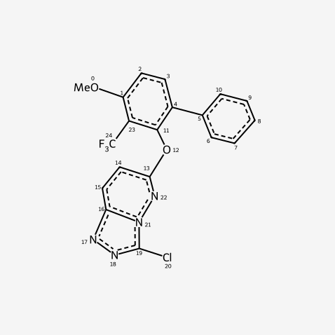 COc1ccc(-c2ccccc2)c(Oc2ccc3nnc(Cl)n3n2)c1C(F)(F)F